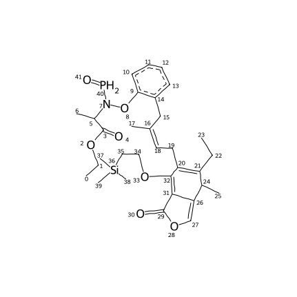 CCOC(=O)C(C)N(Oc1ccccc1CC(C)=CCC1=C(CC)C(C)C2=COC(=O)C2=C1OCC[Si](C)(C)C)[PH2]=O